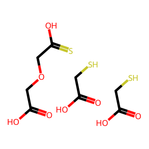 O=C(O)COCC(O)=S.O=C(O)CS.O=C(O)CS